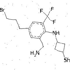 NCc1cc(CCCBr)cc(C(F)(F)F)c1NC1CC(S)C1